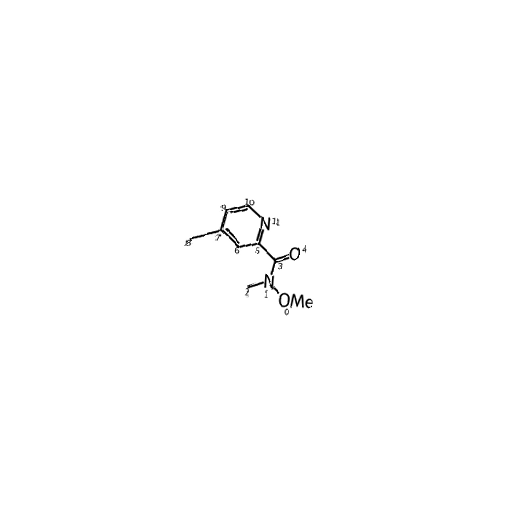 CON(C)C(=O)c1cc(C)ccn1